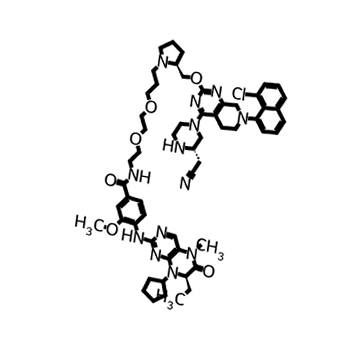 CC[C@@H]1C(=O)N(C)c2cnc(Nc3ccc(C(=O)NCCOCCOCCCN4CCC[C@H]4COc4nc5c(c(N6CCN[C@@H](CC#N)C6)n4)CCN(c4cccc6cccc(Cl)c46)C5)cc3OC)nc2N1C1CCCC1